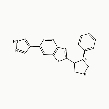 c1ccc([C@H]2CNCC2c2nc3ccc(-c4cn[nH]c4)cc3s2)cc1